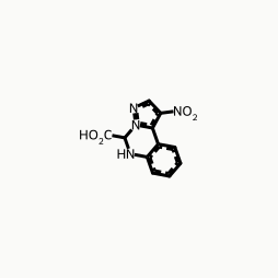 O=C(O)C1Nc2ccccc2-c2c([N+](=O)[O-])cnn21